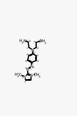 Cn1cc[n+](C)c1/N=N/c1ccc(N(CCN)CCN)cc1